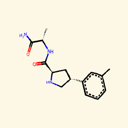 Cc1cccc([C@@H]2CN[C@@H](C(=O)N[C@@H](C)C(N)=O)C2)c1